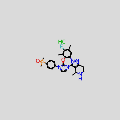 Cc1cc(-n2nc3c(c2-n2ccn(-c4ccc(P(C)(C)=O)cc4)c2=O)C(C)NCC3)cc(C)c1F.Cl